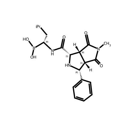 CC(C)C[C@H](NC(=O)[C@H]1N[C@@H](c2ccccc2)[C@H]2C(=O)N(C)C(=O)[C@H]21)B(O)O